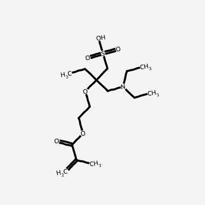 C=C(C)C(=O)OCCOC(CC)(CN(CC)CC)CS(=O)(=O)O